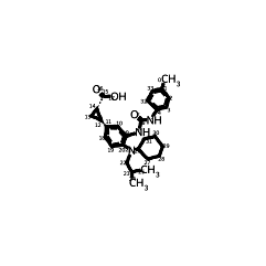 Cc1ccc(NC(=O)Nc2cc([C@@H]3C[C@@H]3C(=O)O)ccc2N(CC(C)C)C2CCCCC2)cc1